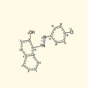 Oc1ccc2ccccc2c1/N=N/c1ccc(Cl)cc1